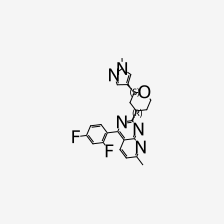 Cc1ccc2c(-c3ccc(F)cc3F)nc([C@@H]3CCO[C@H](c4cnn(C)c4)C3)nc2n1